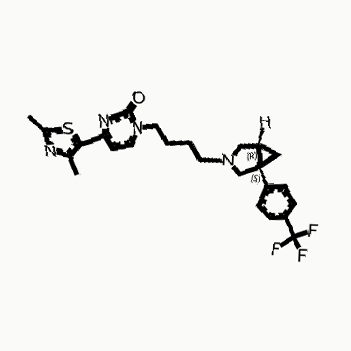 Cc1nc(C)c(-c2ccn(CCCCN3C[C@@H]4C[C@]4(c4ccc(C(F)(F)F)cc4)C3)c(=O)n2)s1